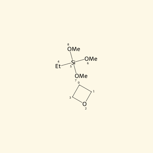 C1COC1.CC[Si](OC)(OC)OC